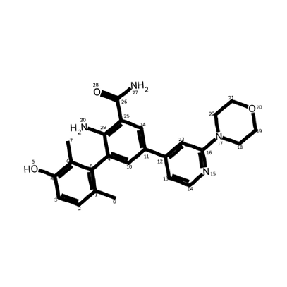 Cc1ccc(O)c(C)c1-c1cc(-c2ccnc(N3CCOCC3)c2)cc(C(N)=O)c1N